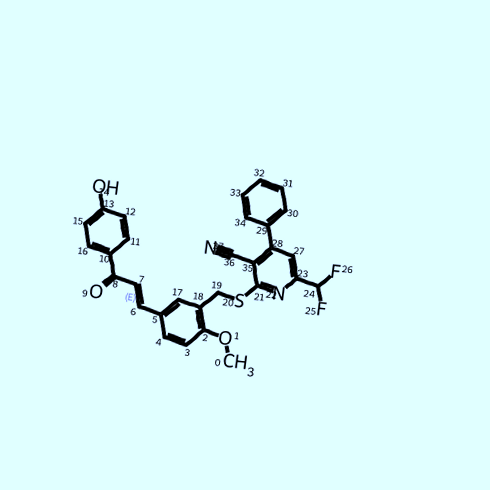 COc1ccc(/C=C/C(=O)c2ccc(O)cc2)cc1CSc1nc(C(F)F)cc(-c2ccccc2)c1C#N